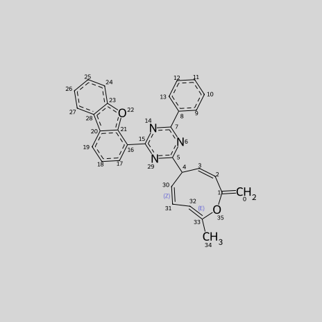 C=C1C=CC(c2nc(-c3ccccc3)nc(-c3cccc4c3oc3ccccc34)n2)/C=C\C=C(/C)O1